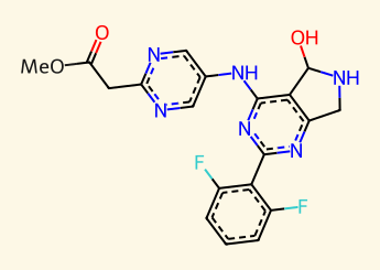 COC(=O)Cc1ncc(Nc2nc(-c3c(F)cccc3F)nc3c2C(O)NC3)cn1